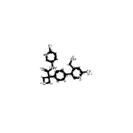 O=C(Nc1ccc(F)nc1)C1(c2ccc(-c3cnc(C(F)(F)F)cc3CO)cc2)COC1